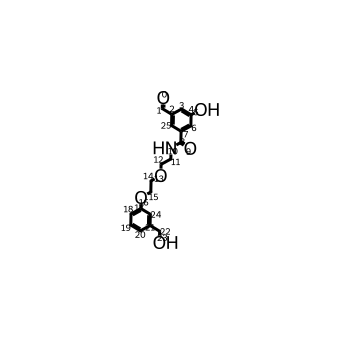 O=Cc1cc(O)cc(C(=O)NCCOCCOc2cccc(CO)c2)c1